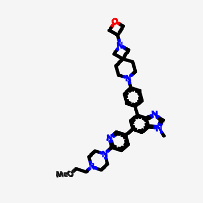 COCCN1CCN(c2ccc(-c3cc(-c4ccc(N5CCC6(CC5)CN(C5COC5)C6)cc4)c4ncn(C)c4c3)cn2)CC1